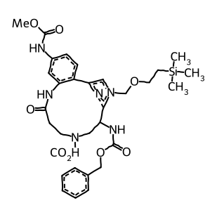 COC(=O)Nc1ccc2c(c1)NC(=O)CCN(C(=O)O)CC(NC(=O)OCc1ccccc1)c1nc-2cn1COCC[Si](C)(C)C